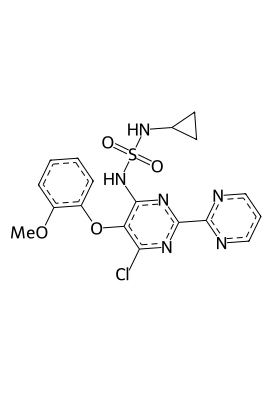 COc1ccccc1Oc1c(Cl)nc(-c2ncccn2)nc1NS(=O)(=O)NC1CC1